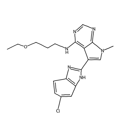 CCOCCCNc1ncnc2c1c(-c1nc3ccc(Cl)cc3[nH]1)cn2C